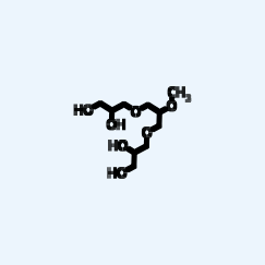 COC(COCC(O)CO)COCC(O)CO